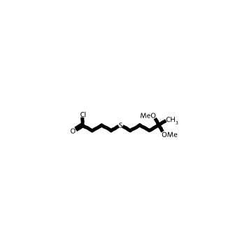 COC(C)(CCCSCCCC(=O)Cl)OC